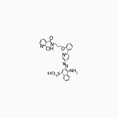 Nc1c(N=Nc2ccc(-c3ccccc3OCCCNC(=O)c3cccnc3Cl)nc2)cc(S(=O)(=O)O)c2ccccc12